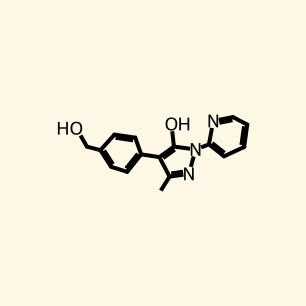 Cc1nn(-c2ccccn2)c(O)c1-c1ccc(CO)cc1